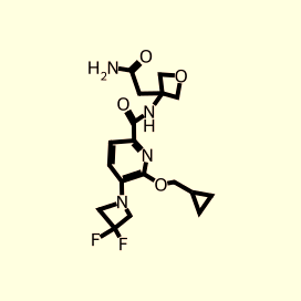 NC(=O)CC1(NC(=O)c2ccc(N3CC(F)(F)C3)c(OCC3CC3)n2)COC1